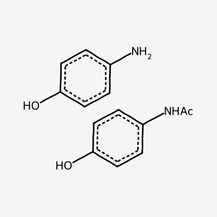 CC(=O)Nc1ccc(O)cc1.Nc1ccc(O)cc1